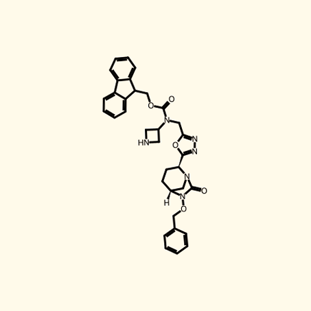 O=C(OCC1c2ccccc2-c2ccccc21)N(Cc1nnc([C@@H]2CC[C@@H]3CN2C(=O)N3OCc2ccccc2)o1)C1CNC1